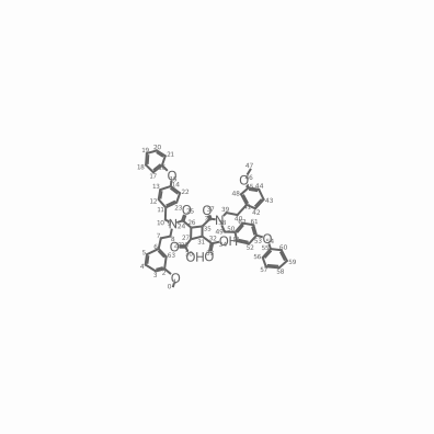 COc1cccc(CCN(Cc2ccc(Oc3ccccc3)cc2)C(=O)C2C(C(=O)O)C(C(=O)O)C2C(=O)N(CCc2cccc(OC)c2)Cc2ccc(Oc3ccccc3)cc2)c1